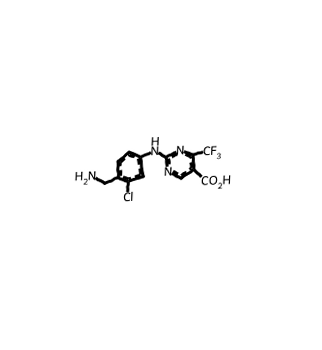 NCc1ccc(Nc2ncc(C(=O)O)c(C(F)(F)F)n2)cc1Cl